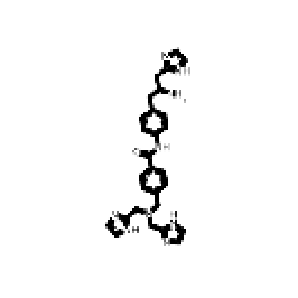 NC(Cc1ccc(NC(=O)c2ccc(CN(Cc3ncc[nH]3)Cc3ncc[nH]3)cc2)cc1)Cc1ncc[nH]1